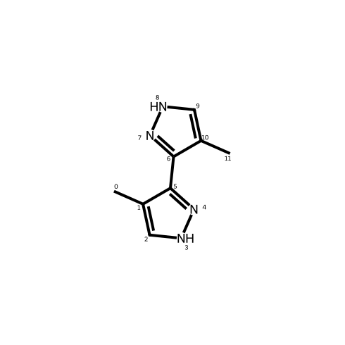 Cc1c[nH]nc1-c1n[nH]cc1C